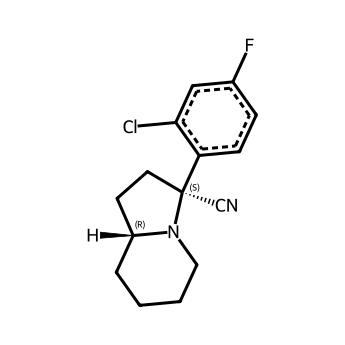 N#C[C@@]1(c2ccc(F)cc2Cl)CC[C@H]2CCCCN21